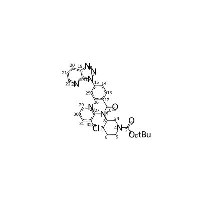 CC(C)(C)OC(=O)N1CCC[C@@H](N(C(=O)c2ccc(-n3nnc4cccnc43)cc2)c2ncccc2Cl)C1